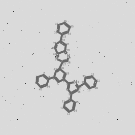 c1ccc(-c2cc(-c3cc(-c4ccccc4)cc(-c4ccccc4)n3)cc(-c3cnc4cc(-c5ccccc5)ccc4n3)c2)cc1